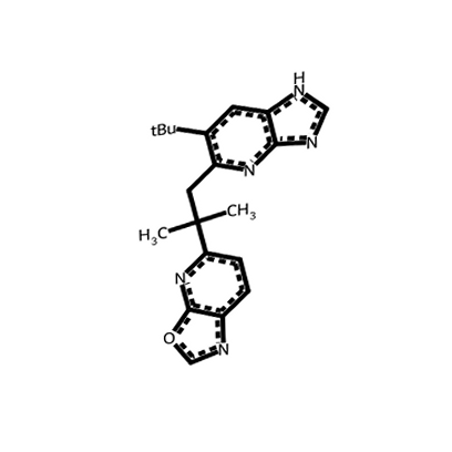 CC(C)(C)c1cc2[nH]cnc2nc1CC(C)(C)c1ccc2ncoc2n1